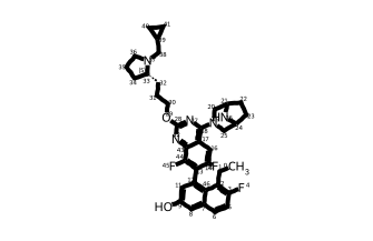 CCc1c(F)ccc2cc(O)cc(-c3c(F)cc4c(N5CC6CCC(C5)N6)nc(OCCC[C@@H]5CCCN5CC5CC5)nc4c3F)c12